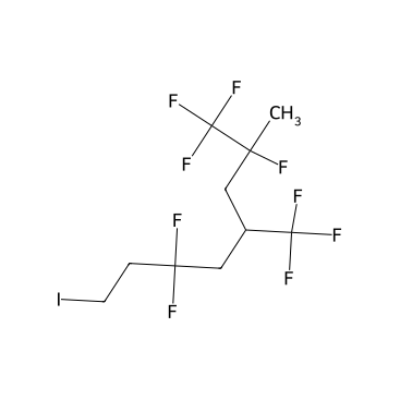 CC(F)(CC(CC(F)(F)CCI)C(F)(F)F)C(F)(F)F